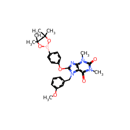 COc1cccc(Cn2c(Oc3ccc(B4OC(C)(C)C(C)(C)O4)cc3)nc3c2c(=O)n(C)c(=O)n3C)c1